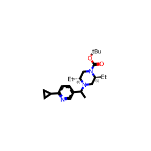 CC[C@H]1CN(C(C)c2ccc(C3CC3)nc2)[C@H](CC)CN1C(=O)OC(C)(C)C